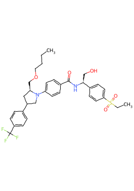 CCCCOC[C@@H]1CC(c2ccc(C(F)(F)F)cc2)CN1c1ccc(C(=O)N[C@@H](CO)c2ccc(S(=O)(=O)CC)cc2)cc1